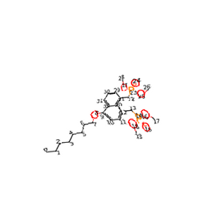 CCCCCCCCOc1ccc(CP(=O)(OC)OC)c2c(CP(=O)(OC)OC)cccc12